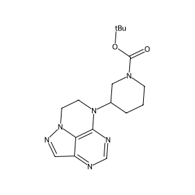 CC(C)(C)OC(=O)N1CCCC(N2CCn3ncc4ncnc2c43)C1